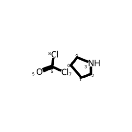 C1CCNC1.O=C(Cl)Cl